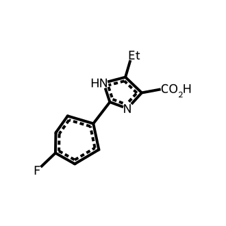 CCc1[nH]c(-c2ccc(F)cc2)nc1C(=O)O